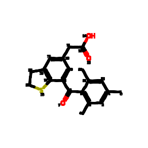 Cc1cc(C)c(C(=O)c2cc(CC(=O)O)cc3c2SCC3)c(C)c1